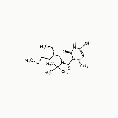 CCCCC(CC)CN(C(=O)c1c(C)cc(O)[nH]c1=O)C(C)(C)C